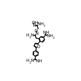 N=C(N)c1ccc(-c2ccc(-c3ccc(C(=N)N)cc3CC(N)=NOCC(N)=NO)o2)cc1